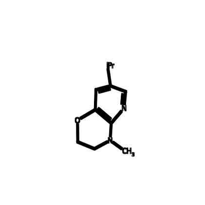 CC(C)c1cnc2c(c1)OCCN2C